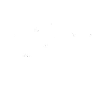 CCC(C)C1C(=O)Nc2ccccc2CN1C(=O)c1cccc(=O)n1C